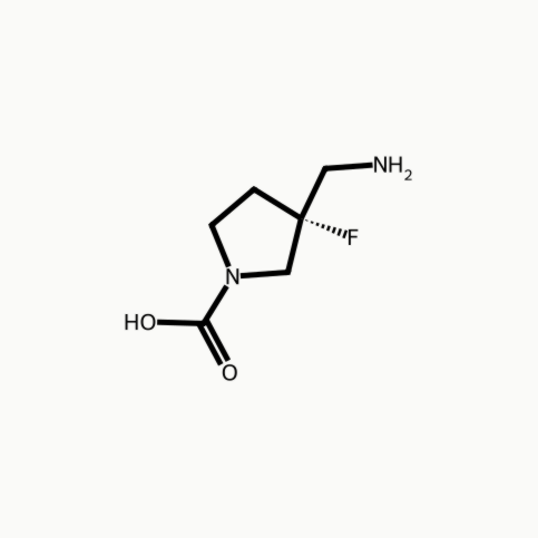 NC[C@]1(F)CCN(C(=O)O)C1